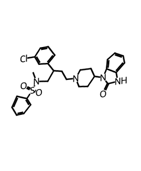 CN(CC(CCN1CCC(n2c(=O)[nH]c3ccccc32)CC1)c1cccc(Cl)c1)S(=O)(=O)c1ccccc1